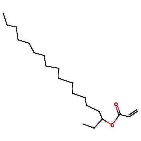 C=CC(=O)OC(CC)CCCCCCCCCCCCCCC